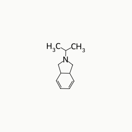 CC(C)N1CC2C=CC=CC2C1